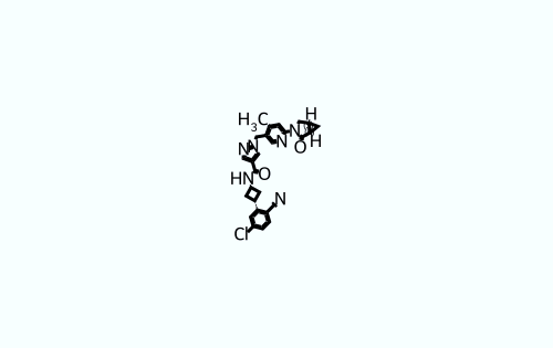 Cc1cc(N2C[C@H]3C[C@H]3C2=O)ncc1Cn1cc(C(=O)N[C@H]2C[C@@H](c3cc(Cl)ccc3C#N)C2)cn1